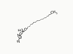 CCCCCCCCCCCCCCCCCCOC[C@@H](O)COc1ccc(C#N)cn1